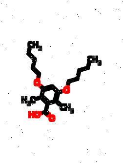 CCCCCOc1cc(OCCCCC)c(C)c(C(=O)O)c1C